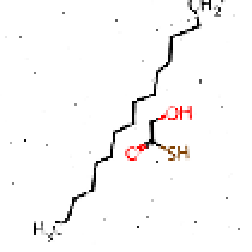 O=C(S)CO.[CH2]CCCCCCCCCCCCCC